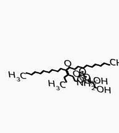 CCCCCCCCCCC(=O)C(CCCCCCCCCC)=C(CCC)C(CN)OP(=O)(O)OC[C@H](O)CO